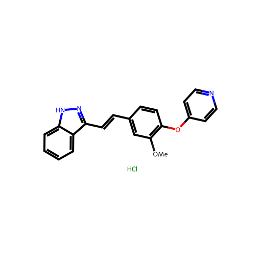 COc1cc(C=Cc2n[nH]c3ccccc23)ccc1Oc1ccncc1.Cl